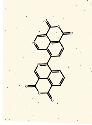 O=C1OC(=O)c2cncc3c(-c4ncc5c6c(cccc46)C(=O)OC5=O)ccc1c23